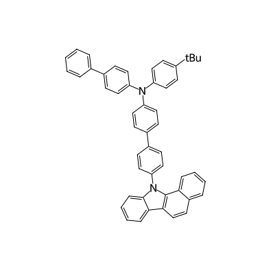 CC(C)(C)c1ccc(N(c2ccc(-c3ccccc3)cc2)c2ccc(-c3ccc(-n4c5ccccc5c5ccc6ccccc6c54)cc3)cc2)cc1